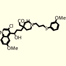 COc1cccc(SCCCN2CCC(CC[C@@H](O)c3c(Cl)cnc4ccc(OC)cc34)(CC(=O)O)CC2)c1